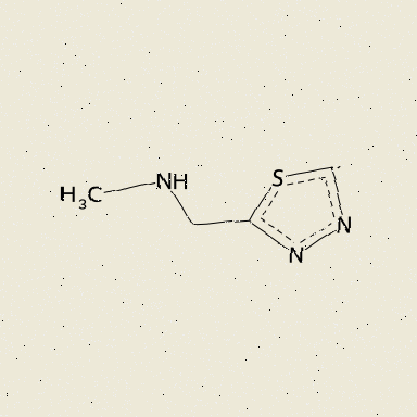 CNCc1nn[c]s1